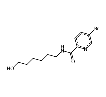 O=C(NCCCCCCO)c1ccc(Br)cn1